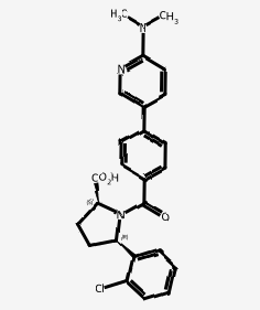 CN(C)c1ccc(-c2ccc(C(=O)N3[C@@H](c4ccccc4Cl)CC[C@H]3C(=O)O)cc2)cn1